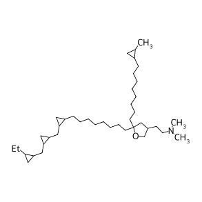 CCC1CC1CC1CC1CC1CC1CCCCCCCCC1(CCCCCCCCC2CC2C)CC(CCN(C)C)CO1